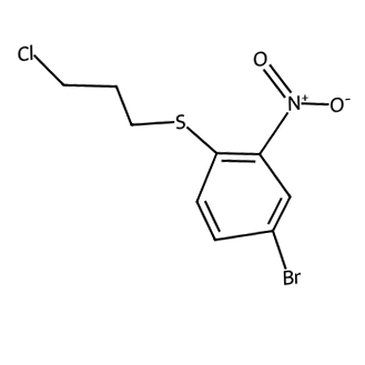 O=[N+]([O-])c1cc(Br)ccc1SCCCCl